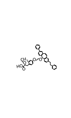 CCOC(Cc1ccc(OCCOC2c3ccc(CCc4ccccc4)cc3C=Cc3cc(-c4ccccc4)ccc32)cc1)C(=O)O